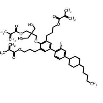 C=C(C)C(=O)OCCCc1cc(-c2ccc(C3CCC(CCCCC)CC3)cc2F)cc(CCCOC(=O)C(=C)C)c1OCC(CS)(CS)COC(=O)C(=C)C